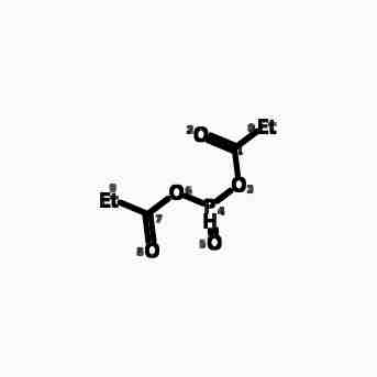 CCC(=O)O[PH](=O)OC(=O)CC